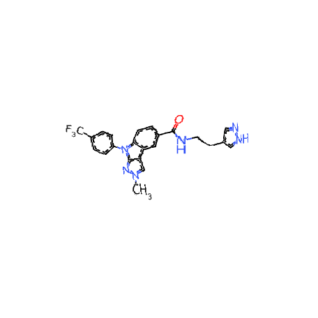 Cn1cc2c3cc(C(=O)NCCc4cn[nH]c4)ccc3n(-c3ccc(C(F)(F)F)cc3)c2n1